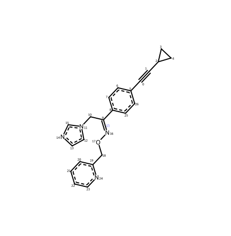 C(#CC1CC1)c1ccc(/C(Cn2ccnc2)=N/OCc2ccccn2)cc1